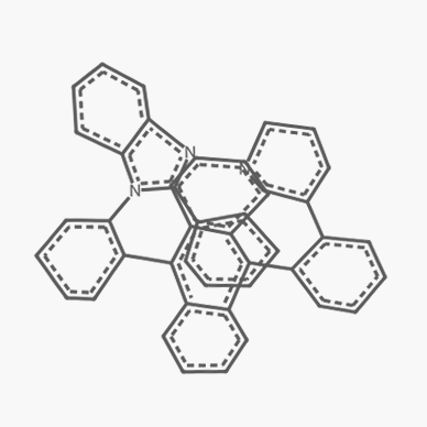 c1ccc(-c2nc3ccccc3n2-c2ccccc2-c2c3ccccc3c(-c3ccccc3-c3cccnc3)c3ccccc23)cc1